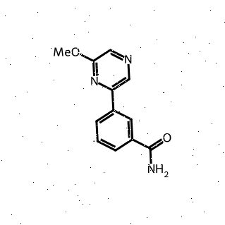 COc1cncc(-c2c[c]cc(C(N)=O)c2)n1